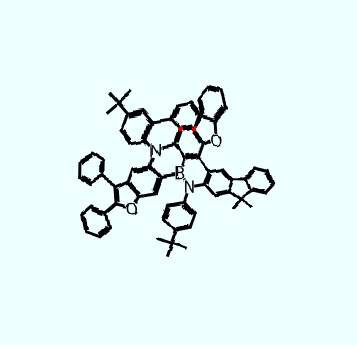 CC(C)(C)c1ccc(N2B3c4cc5oc(-c6ccccc6)c(-c6ccccc6)c5cc4N(c4ccc(C(C)(C)C)cc4-c4ccccc4)c4cc5c(oc6ccccc65)c(c43)-c3cc4c(cc32)C(C)(C)c2ccccc2-4)cc1